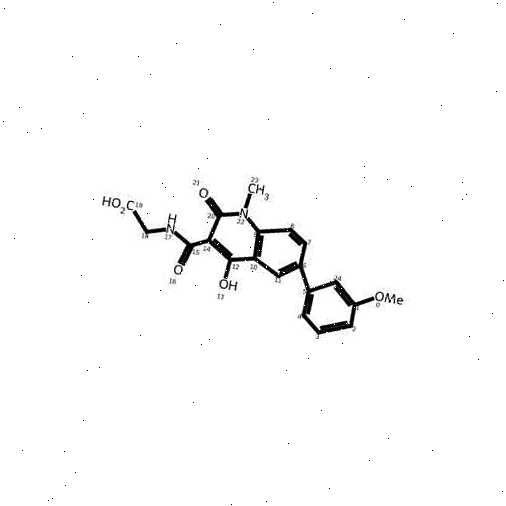 COc1cccc(-c2ccc3c(c2)c(O)c(C(=O)NCC(=O)O)c(=O)n3C)c1